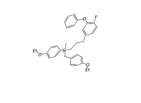 CCOc1ccc(C[Si](C)(CCCc2ccc(F)c(Oc3ccccc3)c2)c2ccc(OCC)cc2)cc1